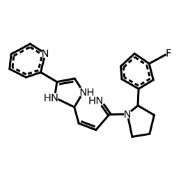 N=C(/C=C\C1NC=C(c2ccccn2)N1)N1CCCC1c1cccc(F)c1